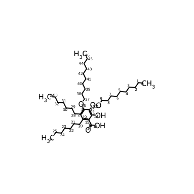 CCCCCCCCCCOOc1c(O)c(C(=O)O)c(CCCCCCC)c(CCCCCCC)c1OCCCCCCCCCC